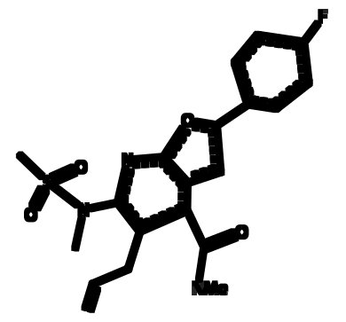 C=CCc1c(N(C)S(C)(=O)=O)nc2oc(-c3ccc(F)cc3)cc2c1C(=O)NC